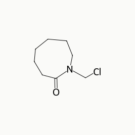 O=C1CCCCCCN1CCl